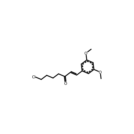 COc1cc(C=CC(=O)CCCCCl)cc(OC)c1